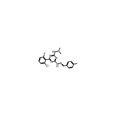 Cc1ccc(C=NNc2nc(NN(C)C)nc(-c3c(F)cccc3Cl)n2)cc1